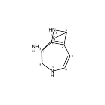 C1=CC2=C3NC2SC3CN1.N